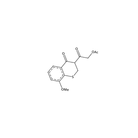 COc1cccc2c1SCC(C(=O)COC(C)=O)C2=O